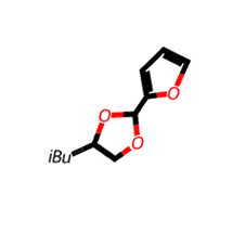 CCC(C)C1COC(c2ccco2)O1